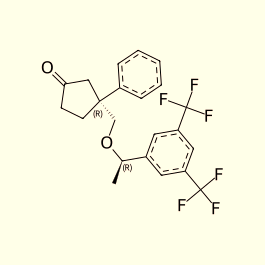 C[C@@H](OC[C@]1(c2ccccc2)CCC(=O)C1)c1cc(C(F)(F)F)cc(C(F)(F)F)c1